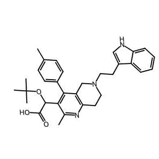 Cc1ccc(-c2c3c(nc(C)c2C(OC(C)(C)C)C(=O)O)CCN(CCc2c[nH]c4ccccc24)C3)cc1